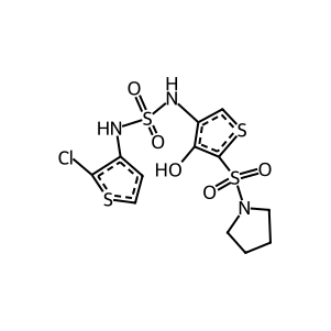 O=S(=O)(Nc1ccsc1Cl)Nc1csc(S(=O)(=O)N2CCCC2)c1O